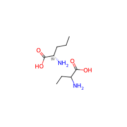 CCC(N)C(=O)O.CCC[C@H](N)C(=O)O